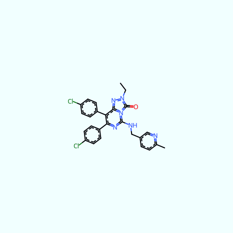 CCn1nc2c(-c3ccc(Cl)cc3)c(-c3ccc(Cl)cc3)nc(NCc3ccc(C)nc3)n2c1=O